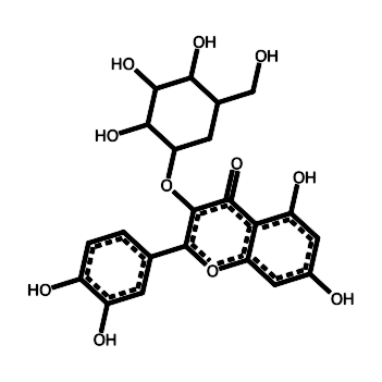 O=c1c(OC2CC(CO)C(O)C(O)C2O)c(-c2ccc(O)c(O)c2)oc2cc(O)cc(O)c12